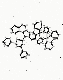 C1=CCCC(c2nc(-c3ccccc3)cc(C3c4ccc5c(c4-c4ccc6ccccc6c43)C3=C(CCC=C3)C53C4=C(C=CCC4)C4(c5ccccc5-c5ccccc54)c4ccccc43)n2)=C1